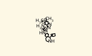 COc1cc2ncnc(-n3nc(Nc4ccc5c(c4)CCCNCC5C4CC5CCC4C5)nc3N)c2cc1OC